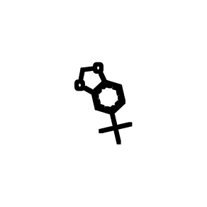 CC(C)(C)c1ccc2c(c1)OCO2